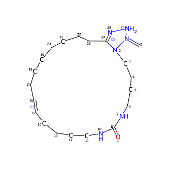 C=NN1CCCCNC(=O)NCCCC/C=C\CCCCCCC/C1=N/N